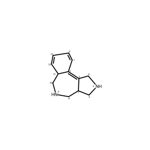 C1=CC2=C3CNCC3CNCC2C=C1